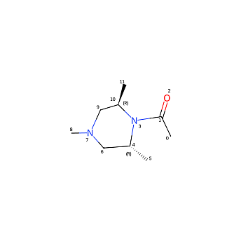 CC(=O)N1[C@H](C)CN(C)C[C@H]1C